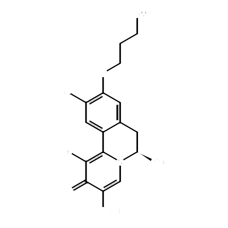 COCCCOc1cc2c(cc1Cl)-c1c(F)c(=O)c(C(=O)O)cn1[C@H](C(C)(C)C)C2